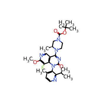 COc1ncc2c(N3CCN(C(=O)OC(C)(C)C)C[C@@H]3C)nc(=O)n(-c3c(C)ccnc3C(C)C)c2c1F